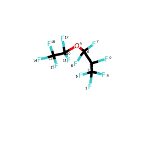 FC(C(F)(F)F)C(F)(F)OC(F)(F)C(F)(F)F